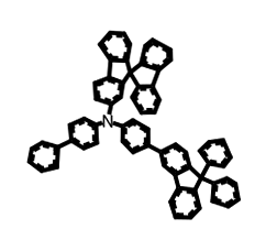 c1ccc(-c2ccc(N(c3ccc(-c4ccc5c(c4)-c4ccccc4C5(c4ccccc4)c4ccccc4)cc3)c3ccc4c(c3)C3(c5ccccc5-c5ccccc53)c3ccccc3-4)cc2)cc1